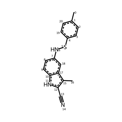 Cc1ccc(SNc2ccc3[nH]c(C#N)c(C)c3c2)cc1